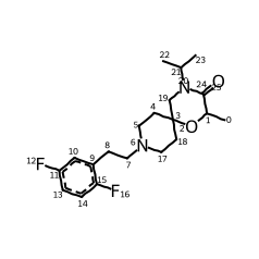 CC1OC2(CCN(CCc3cc(F)ccc3F)CC2)CN(C(C)C)C1=O